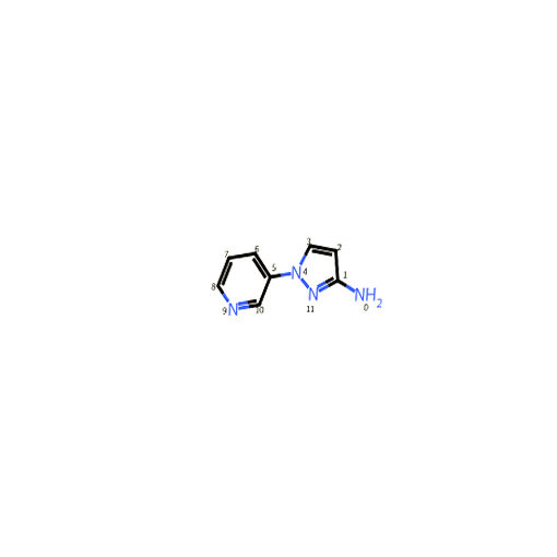 Nc1ccn(-c2cccnc2)n1